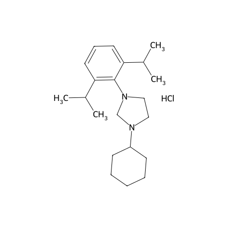 CC(C)c1cccc(C(C)C)c1N1CCN(C2CCCCC2)C1.Cl